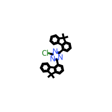 CC1(C)c2ccccc2-c2c(-c3nc(Cl)nc(-c4cccc5c4-c4ccccc4C5(C)C)n3)cccc21